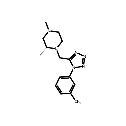 C[C@@H]1CN(C)CCN1Cc1nnnn1-c1cccc(C(F)(F)F)c1